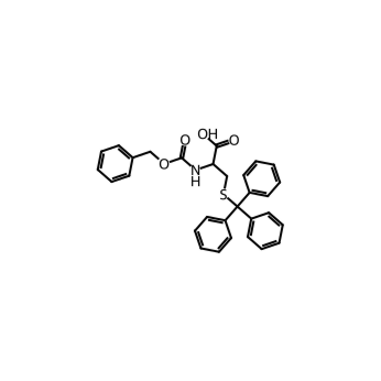 O=C(NC(CSC(c1ccccc1)(c1ccccc1)c1ccccc1)C(=O)O)OCc1ccccc1